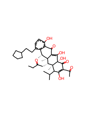 CCC(=O)C[C@@H]1[C@]2(C)C(=C(O)[C@@]3(O)C(=O)C(C(C)=O)=C(O)C(C(C)C)[C@@]13C)C(=O)c1c(O)ccc(CCC3CCCC3)c1[C@H]2C